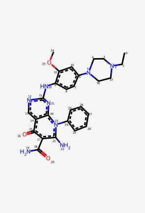 CCN1CCN(c2ccc(Nc3ncc4c(=O)c(C(N)=O)c(N)n(-c5ccccc5)c4n3)c(OC)c2)CC1